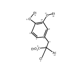 CCOC(=O)C(Cl)(Cc1ccc(OCC)c(OCC)c1)C(C)=O